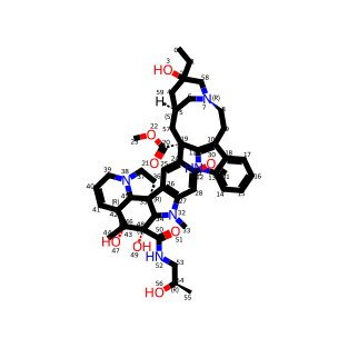 CCC1(O)C[C@H]2C[N@](CCc3c([nH]c4ccccc34)[C@@](C(=O)OC)(c3cc4c(cc3OC)N(C)C3[C@]45CCN4CC=C[C@](CC)(C45)[C@@H](O)[C@]3(O)C(=O)NC[C@@H](C)O)C2)C1